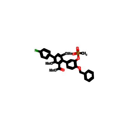 COC(=O)c1c(OC)c(-c2ccc(F)cc2)cc(OC)c1-c1ccc(OCc2ccccc2)c(OS(C)(=O)=O)c1